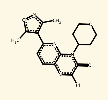 Cc1noc(C)c1-c1ccc2nc(Cl)c(=O)n(C3CCOCC3)c2n1